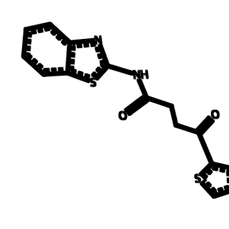 O=C(CCC(=O)c1cncs1)Nc1nc2ccccc2s1